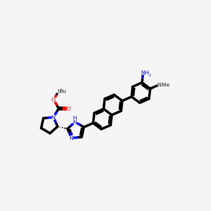 CNc1ccc(-c2ccc3cc(-c4cnc([C@@H]5CCCN5C(=O)OC(C)(C)C)[nH]4)ccc3c2)cc1N